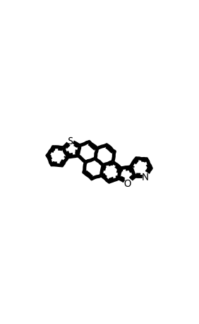 C1=Cc2c3c(cc4oc5ncccc5c24)C=CC2c4c(sc5ccccc45)C=C1C32